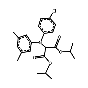 Cc1cc(C)cc(N(c2ccc(Cl)cc2)C(C(=O)OC(C)C)C(=O)OC(C)C)c1